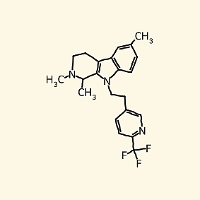 Cc1ccc2c(c1)c1c(n2CCc2ccc(C(F)(F)F)nc2)C(C)N(C)CC1